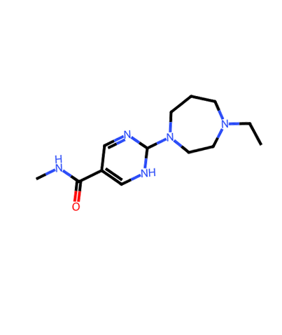 CCN1CCCN(C2N=CC(C(=O)NC)=CN2)CC1